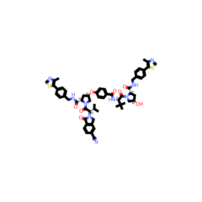 Cc1ncsc1-c1ccc(CNC(=O)[C@@H]2C[C@@H](Oc3ccc(C(=O)N[C@H](C(=O)N4C[C@H](O)C[C@H]4C(=O)NCc4ccc(-c5scnc5C)cc4)C(C)(C)C)cc3)CN2C(=O)[C@H](C(C)C)N2Cc3cc(C#N)ccc3C2=O)cc1